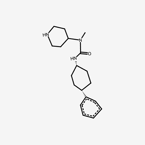 CN(C(=O)N[C@H]1CC[C@@H](c2ccccc2)CC1)C1CCNCC1